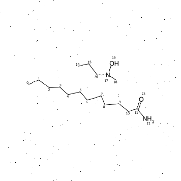 CCCCCCCCCCCC(N)=O.CCCN(C)O